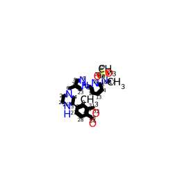 Cc1c([C@@H]2CN(Cc3cnn(-c4cccc(N(C)S(C)(=O)=O)n4)c3)CCN2)ccc2c1COC2=O